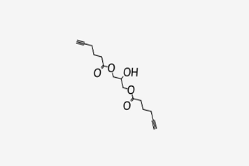 C#CCCCC(=O)OCC(O)COC(=O)CCCC#C